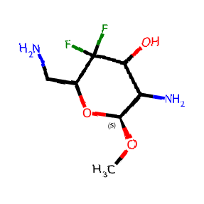 CO[C@H]1OC(CN)C(F)(F)C(O)C1N